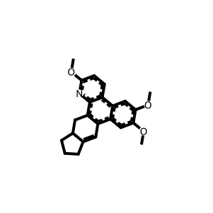 COc1ccc2c(n1)c1c(c3cc(OC)c(OC)cc32)C=C2CCCC2C1